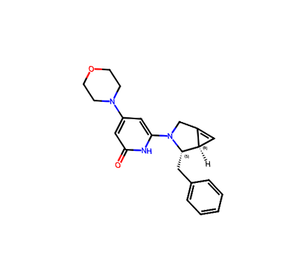 O=c1cc(N2CCOCC2)cc(N2CC3=C[C@H]3[C@@H]2Cc2ccccc2)[nH]1